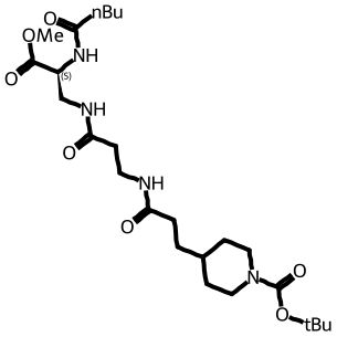 CCCCC(=O)N[C@@H](CNC(=O)CCNC(=O)CCC1CCN(C(=O)OC(C)(C)C)CC1)C(=O)OC